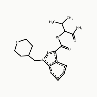 CC(C)C(NC(=O)c1nn(CC2CCOCC2)c2ncccc12)C(N)=O